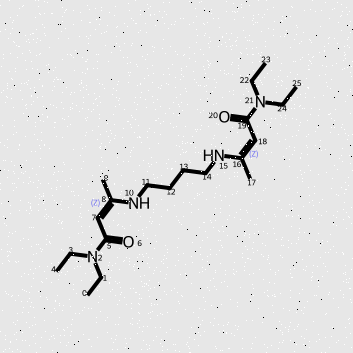 CCN(CC)C(=O)/C=C(/C)NCCCCN/C(C)=C\C(=O)N(CC)CC